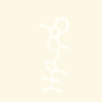 Cc1c(CN2CCc3c(c4ccccc4n3C)C2=O)ncn1S(=O)(=O)N(C)C